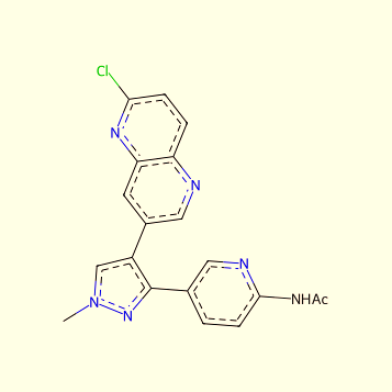 CC(=O)Nc1ccc(-c2nn(C)cc2-c2cnc3ccc(Cl)nc3c2)cn1